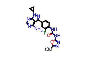 CC(C)(C)c1nnc(NC(=O)Nc2ccc(-c3nn(C4CC4)c4ncnc(N)c34)cc2F)o1